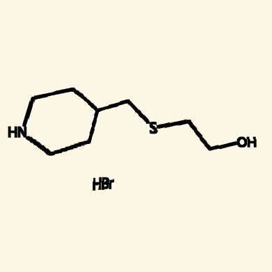 Br.OCCSCC1CCNCC1